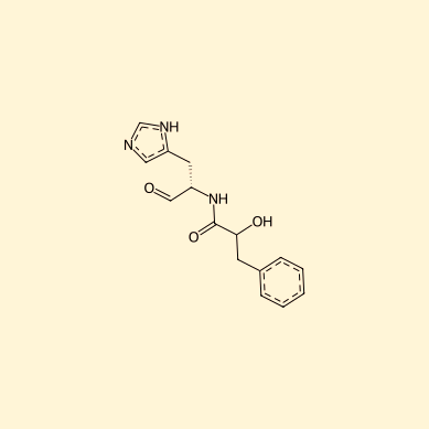 O=C[C@H](Cc1cnc[nH]1)NC(=O)C(O)Cc1ccccc1